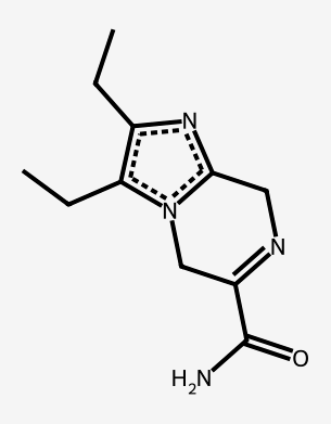 CCc1nc2n(c1CC)CC(C(N)=O)=NC2